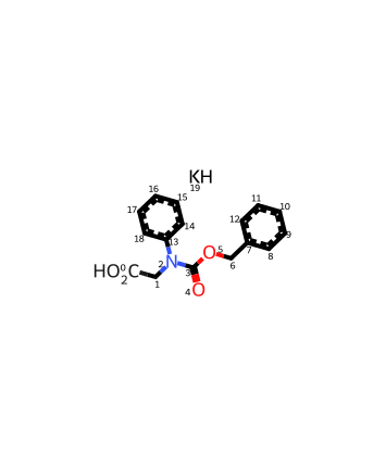 O=C(O)CN(C(=O)OCc1ccccc1)c1ccccc1.[KH]